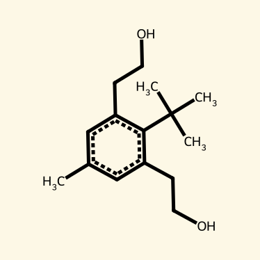 Cc1cc(CCO)c(C(C)(C)C)c(CCO)c1